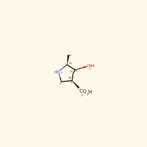 C[C@@H]1NC[C@H](C(=O)O)[C@@H]1O